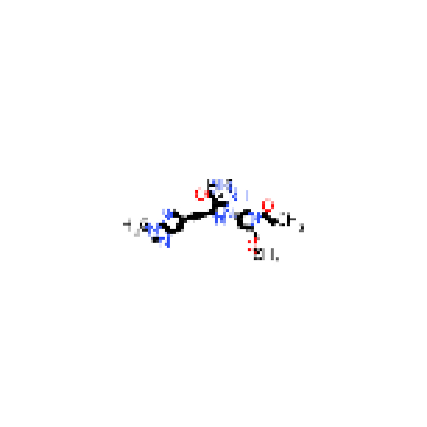 C=CC(=O)N1C[C@@H](n2nc(C#Cc3cnc4c(c3)ncn4C)c(C(N)=O)c2NC)C[C@@H]1COC